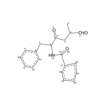 CC([C]=O)CC(=O)C(Cc1ccccc1)NC(=O)c1ccccc1